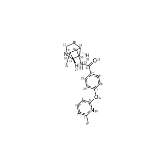 Cc1cccc(Oc2ccc(C(=O)N[C@@H]3C4CCN(CC4)[C@H]3C)cc2)n1